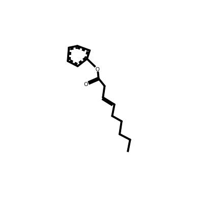 CCCCCC=CCC(=O)Oc1ccccc1